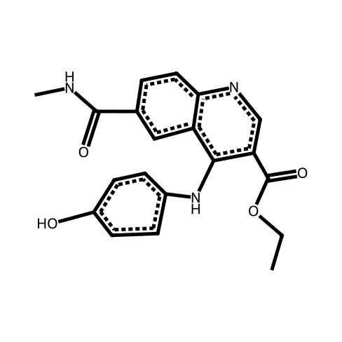 CCOC(=O)c1cnc2ccc(C(=O)NC)cc2c1Nc1ccc(O)cc1